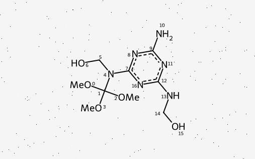 COC(OC)(OC)N(CO)c1nc(N)nc(NCO)n1